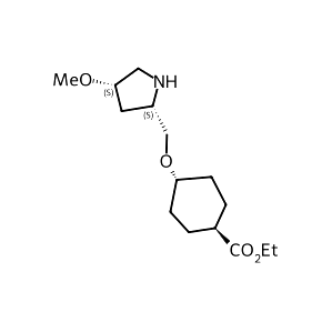 CCOC(=O)[C@H]1CC[C@H](OC[C@@H]2C[C@H](OC)CN2)CC1